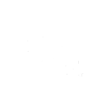 FC(F)(F)C(F)(F)c1[c]c2c(cc1)-c1ccccc1C2